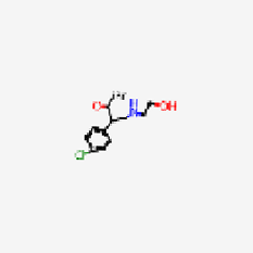 CC(C)C(=O)C(CNCCO)c1ccc(Cl)cc1